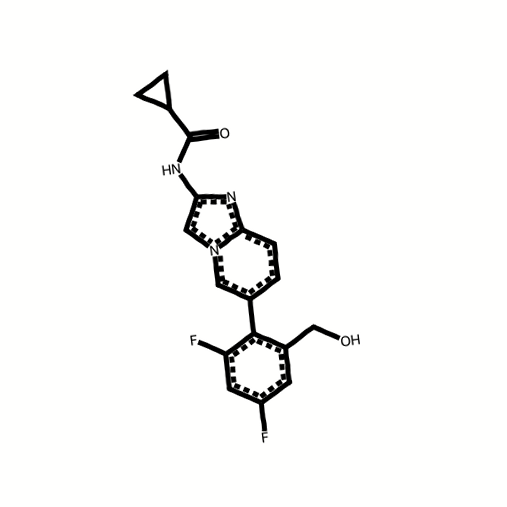 O=C(Nc1cn2cc(-c3c(F)cc(F)cc3CO)ccc2n1)C1CC1